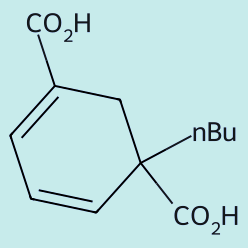 CCCCC1(C(=O)O)C=CC=C(C(=O)O)C1